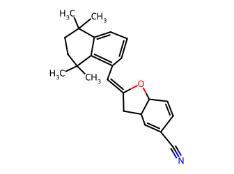 CC1(C)CCC(C)(C)c2c(C=C3CC4C=C(C#N)C=CC4O3)cccc21